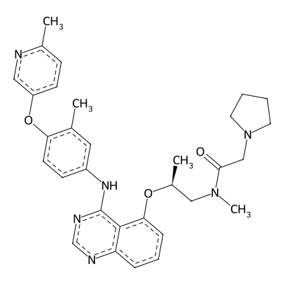 Cc1ccc(Oc2ccc(Nc3ncnc4cccc(O[C@@H](C)CN(C)C(=O)CN5CCCC5)c34)cc2C)cn1